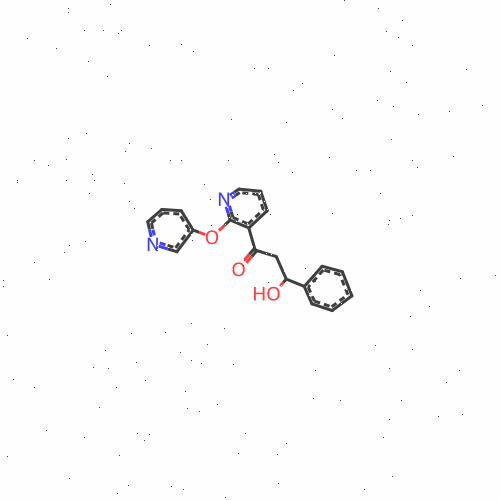 O=C(CC(O)c1ccccc1)c1cccnc1Oc1cccnc1